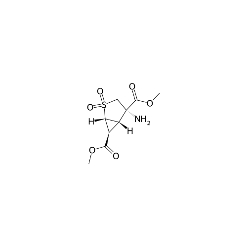 COC(=O)[C@@H]1[C@@H]2[C@H]1S(=O)(=O)C[C@@]2(N)C(=O)OC